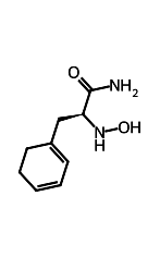 NC(=O)[C@H](CC1=CC=CCC1)NO